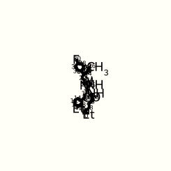 CCN(CC)CCCS(=O)(=O)N[C@H](CCc1ccccc1)c1nc(Cc2cn(C)c3cc(F)ccc23)n[nH]1